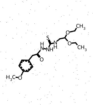 CCOC(CNC(=S)NNC(=O)Cc1ccc(OC)cc1)OCC